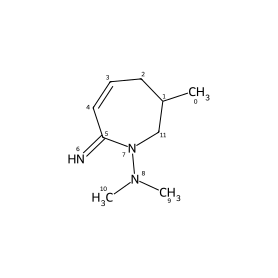 CC1CC=CC(=N)N(N(C)C)C1